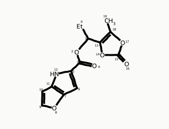 CCC(OC(=O)c1cc2occc2[nH]1)c1oc(=O)oc1C